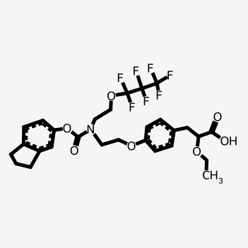 CCOC(Cc1ccc(OCCN(CCOC(F)(F)C(F)(F)C(F)(F)F)C(=O)Oc2ccc3c(c2)CCC3)cc1)C(=O)O